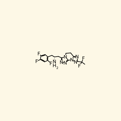 CC(F)(F)c1nc2n(n1)-c1nnc(C[C@H](N)Cc3cc(F)c(F)cc3F)n1CC2